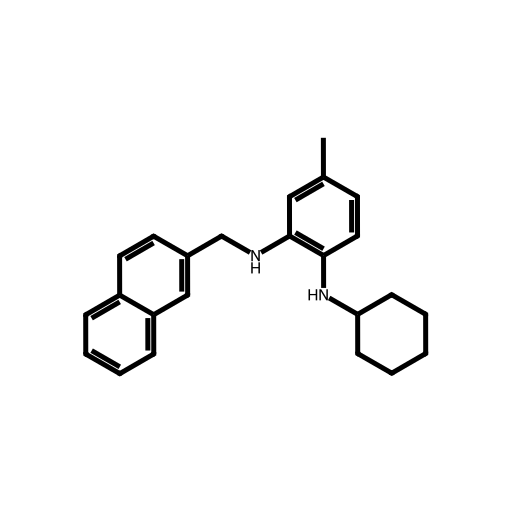 Cc1ccc(NC2CCCCC2)c(NCc2ccc3ccccc3c2)c1